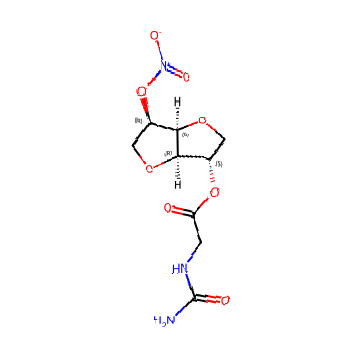 NC(=O)NCC(=O)O[C@H]1CO[C@H]2[C@@H]1OC[C@H]2O[N+](=O)[O-]